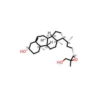 C[C@H](CC[C@@H]1OC1(C)CO)[C@H]1CC[C@H]2[C@@H]3CC=C4C[C@@H](O)CC[C@]4(C)[C@H]3CC[C@]12C